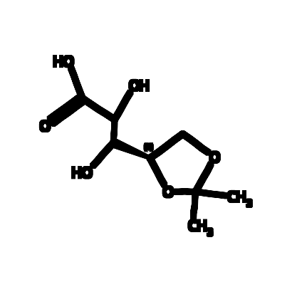 CC1(C)OC[C@H](C(O)C(O)C(=O)O)O1